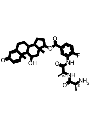 C[C@H](N)C(=O)N[C@@H](C)C(=O)Nc1cc(C(=O)OC2CCC3C4CCC5=CC(=O)C=CC5(C)C4C(O)CC23C)ccc1F